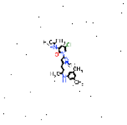 Cc1cc(C)cc(NC(C)CCc2cc(-n3cc(Cl)cc(NC(C)C)c3=O)nn2C)c1